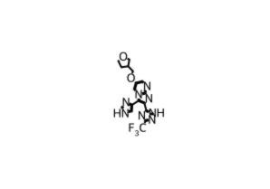 FC(F)(F)c1n[nH]c(-c2nc3ncc(OCC4CCOC4)cn3c2-c2c[nH]cn2)n1